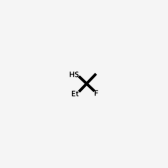 [CH2]CC(C)(F)S